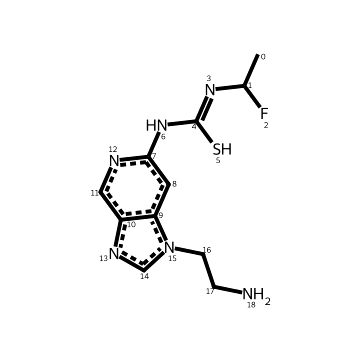 CC(F)/N=C(\S)Nc1cc2c(cn1)ncn2CCN